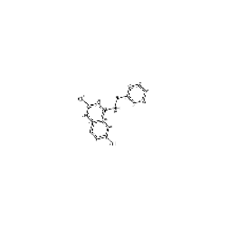 Clc1ccc2nc(Cl)nc(NCc3ccccc3)c2c1